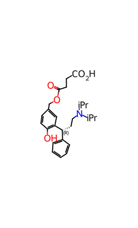 CC(C)N(CC[C@H](c1ccccc1)c1cc(COC(=O)CCC(=O)O)ccc1O)C(C)C